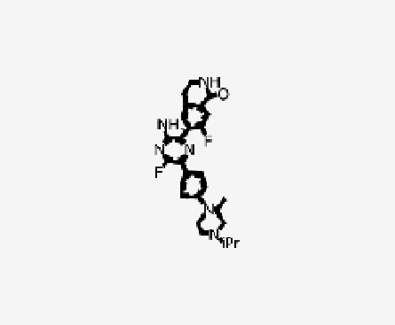 CC(C)N1CCN(c2ccc(-c3nc(-c4cc5c(cc4F)C(=O)NCC5)c(N)nc3F)cc2)C(C)C1